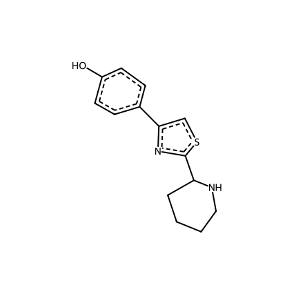 Oc1ccc(-c2csc(C3CCCCN3)n2)cc1